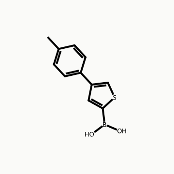 Cc1ccc(-c2csc(B(O)O)c2)cc1